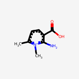 Cc1ccc(C(=O)O)c(N)[n+]1C